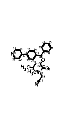 CC(C)C[C@H](O[C@H](c1ccccc1)c1ccc(-c2ccncc2)cc1)C(=O)NCC#N